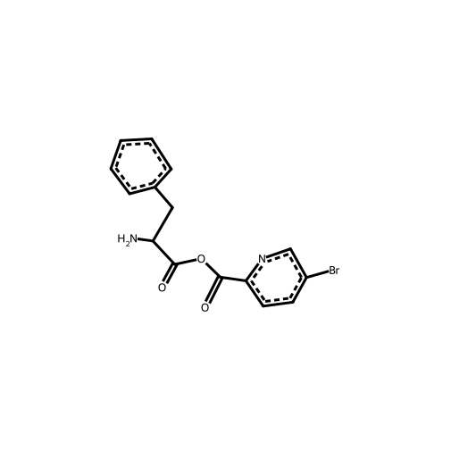 NC(Cc1ccccc1)C(=O)OC(=O)c1ccc(Br)cn1